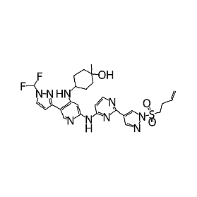 C=CCCS(=O)(=O)n1cc(-c2nccc(Nc3cc(NC4CCC(C)(O)CC4)c(-c4ccn(C(F)F)n4)cn3)n2)cn1